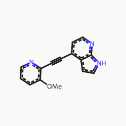 COc1cccnc1C#Cc1ccnc2[nH]ccc12